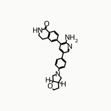 Nc1ncc(-c2ccc(N3C[C@@H]4CCO[C@@H]4C3)cc2)cc1-c1ccc2c(c1)CCNC2=O